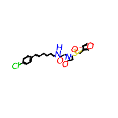 O=C(CN1C(=O)CC1[S+]([O-])Cc1ccoc1)NCCCCCCc1ccc(Cl)cc1